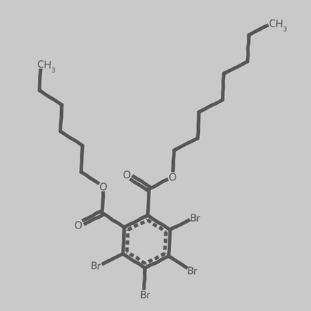 CCCCCCCCOC(=O)c1c(Br)c(Br)c(Br)c(Br)c1C(=O)OCCCCCC